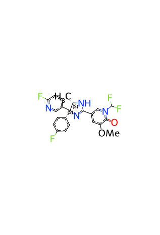 COc1cc(C2=N[C@@](c3ccc(F)cc3)(c3ccc(F)nc3)[C@H](C)N2)cn(C(F)F)c1=O